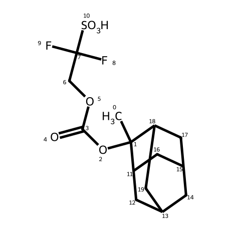 CC1(OC(=O)OCC(F)(F)S(=O)(=O)O)C2CC3CC(C2)CC1C3